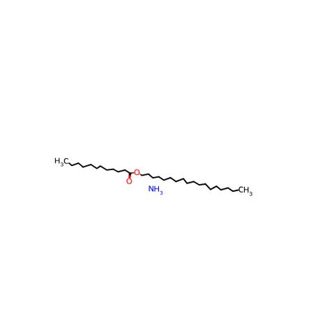 CCCCCCCCCCCCCCCCCCOC(=O)CCCCCCCCCCC.N